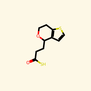 O=C(S)CCC1OCCc2sccc21